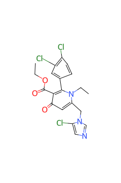 CCOC(=O)c1c(-c2ccc(Cl)c(Cl)c2)n(CC)c(Cn2cncc2Cl)cc1=O